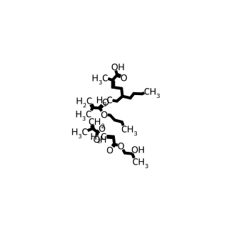 C=C(C)C(=O)O.C=C(C)C(=O)OCCCC.C=CC(=O)OCC(C)O.CCCCC(CC)CC=C(C)C(=O)O